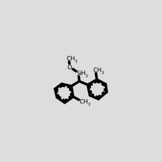 CO[SiH2]C(c1ccccc1C)c1ccccc1C